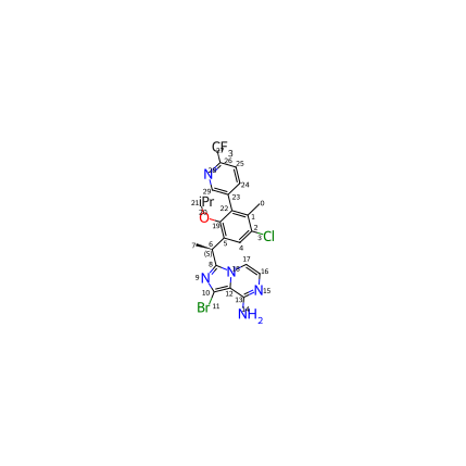 Cc1c(Cl)cc([C@H](C)c2nc(Br)c3c(N)nccn23)c(OC(C)C)c1-c1ccc(C(F)(F)F)nc1